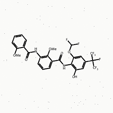 COc1ccccc1C(=O)Nc1cccc(C(=O)Nc2c(O)cc(C(F)(C(F)(F)F)C(F)(F)F)cc2OC(F)F)c1OC